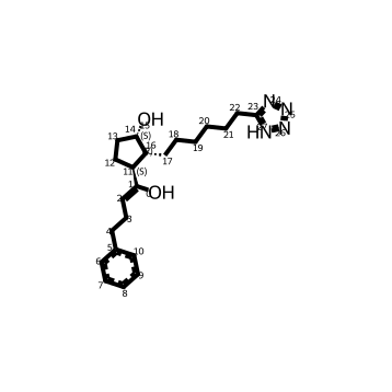 OC(=CCCc1ccccc1)[C@H]1CC[C@H](O)[C@@H]1CCCCCCc1nnn[nH]1